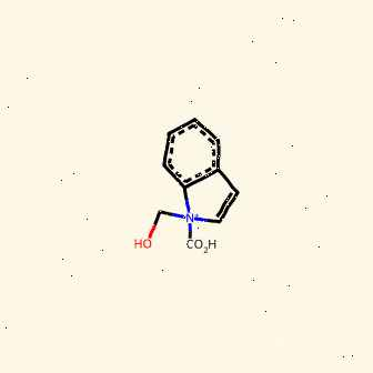 O=C(O)[N+]1(CO)C=Cc2ccccc21